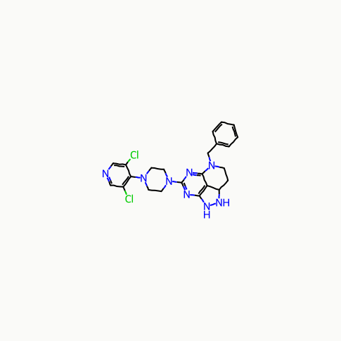 Clc1cncc(Cl)c1N1CCN(c2nc3c4c(n2)N(Cc2ccccc2)CCC4NN3)CC1